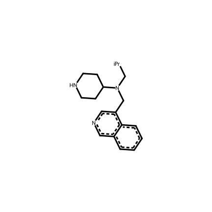 CC(C)CN(Cc1cncc2ccccc12)C1CCNCC1